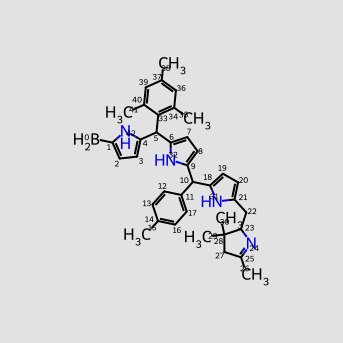 Bc1ccc(C(c2ccc(C(c3ccc(C)cc3)c3ccc(CC4N=C(C)CC4(C)C)[nH]3)[nH]2)c2c(C)cc(C)cc2C)[nH]1